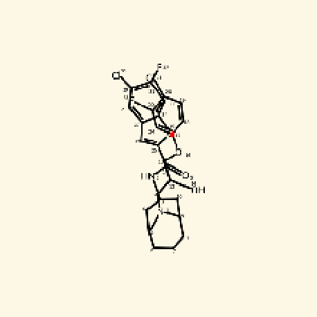 O=C(NC1CC2CCCC(C1)N2CC(O)COc1ccc(Cl)c(F)c1)c1cc2cc(Cl)c(F)cc2o1